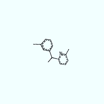 Cc1cccc(C(C)c2cccc(C)n2)c1